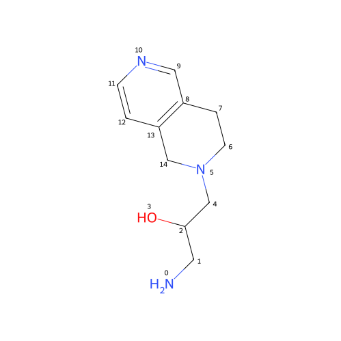 NCC(O)CN1CCc2cnccc2C1